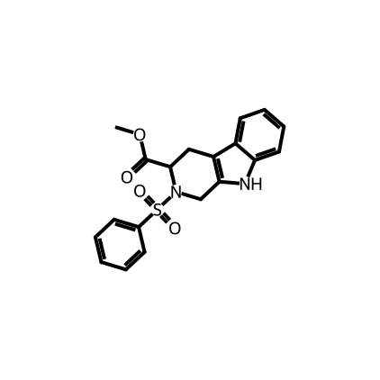 COC(=O)C1Cc2c([nH]c3ccccc23)CN1S(=O)(=O)c1ccccc1